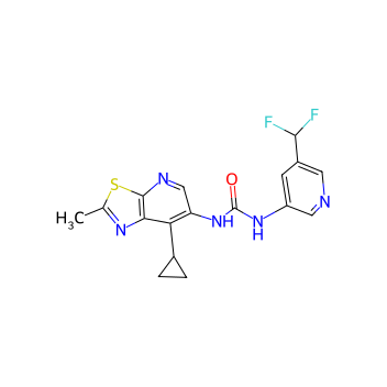 Cc1nc2c(C3CC3)c(NC(=O)Nc3cncc(C(F)F)c3)cnc2s1